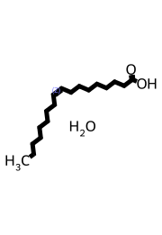 CCCCCCCC/C=C\CCCCCCCC(=O)O.O